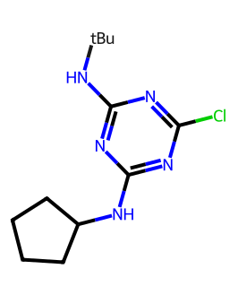 CC(C)(C)Nc1nc(Cl)nc(NC2CCCC2)n1